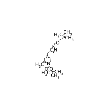 C[C@@H]1CN(Cc2cn(COCCS(C)(C)C)nc2I)CCN1C(=O)OC(C)(C)C